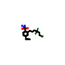 COc1ccc(S(N)(=O)=O)c(CCCC(F)(F)CCBr)c1